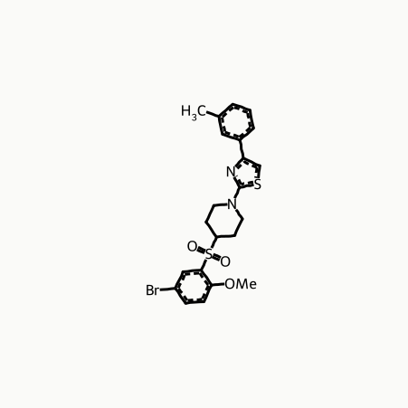 COc1ccc(Br)cc1S(=O)(=O)C1CCN(c2nc(-c3cccc(C)c3)cs2)CC1